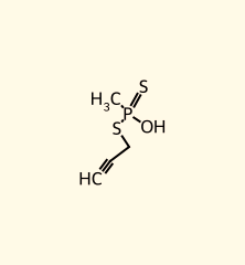 C#CCSP(C)(O)=S